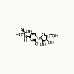 O=c1nc(NP(=O)(O)O)ccn1[C@@H]1O[C@H](CO)[C@@H](O)[C@H]1O